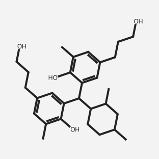 Cc1cc(CCCO)cc(C(c2cc(CCCO)cc(C)c2O)C2CCC(C)CC2C)c1O